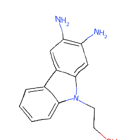 Nc1cc2c3ccccc3n(CCO)c2cc1N